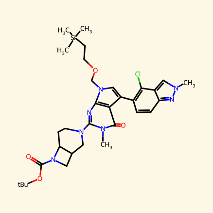 Cn1cc2c(Cl)c(-c3cn(COCC[Si](C)(C)C)c4nc(N5CCC6C(C5)CN6C(=O)OC(C)(C)C)n(C)c(=O)c34)ccc2n1